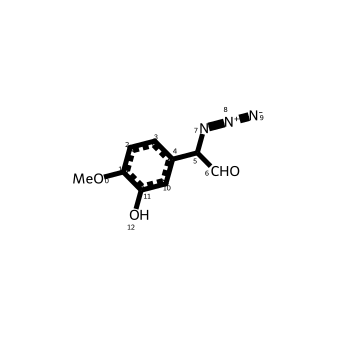 COc1ccc(C(C=O)N=[N+]=[N-])cc1O